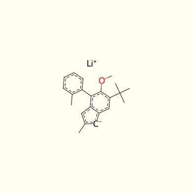 COc1c(C(C)(C)C)cc2[cH-]c(C)cc2c1-c1ccccc1C.[Li+]